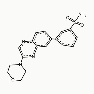 NS(=O)(=O)c1cccc(-c2ccc3ncc(N4CCOCC4)nc3c2)c1